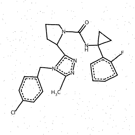 Cc1nnc(C2CCCN2C(=O)NC2(c3ccccc3F)CC2)n1Cc1ccc(Cl)cc1